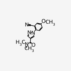 COc1ccc(-n2cc(C(=O)N(C)C)cn2)c(C#N)c1